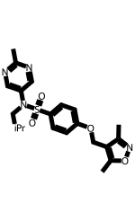 Cc1ncc(N(CC(C)C)S(=O)(=O)c2ccc(OCc3c(C)noc3C)cc2)cn1